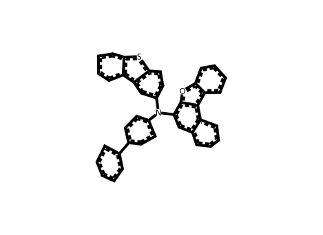 c1ccc(-c2ccc(N(c3ccc4sc5ccccc5c4c3)c3cc4ccccc4c4c3oc3ccccc34)cc2)cc1